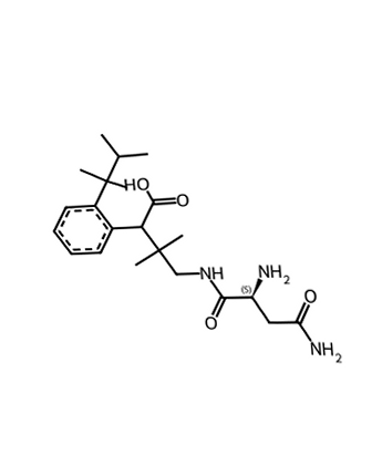 CC(C)C(C)(C)c1ccccc1C(C(=O)O)C(C)(C)CNC(=O)[C@@H](N)CC(N)=O